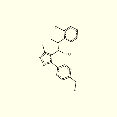 Cc1noc(-c2ccc(CCl)cc2)c1N(C(=O)O)C(C)c1ccccc1Cl